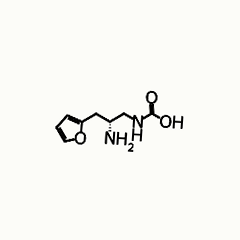 N[C@@H](CNC(=O)O)Cc1ccco1